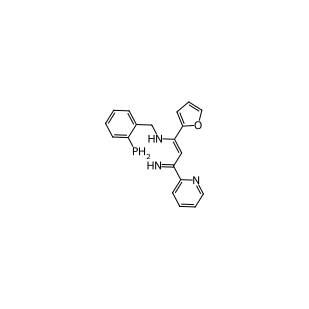 N=C(/C=C(\NCc1ccccc1P)c1ccco1)c1ccccn1